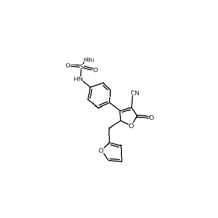 CCCCS(=O)(=O)Nc1ccc(C2=C(C#N)C(=O)OC2Cc2ccco2)cc1